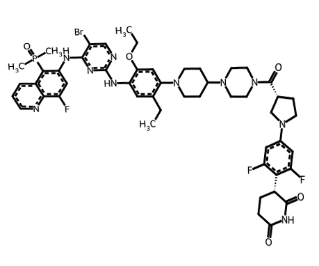 CCOc1cc(N2CCC(N3CCN(C(=O)[C@@H]4CCN(c5cc(F)c([C@H]6CCC(=O)NC6=O)c(F)c5)C4)CC3)CC2)c(CC)cc1Nc1ncc(Br)c(Nc2cc(F)c3ncccc3c2P(C)(C)=O)n1